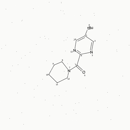 CC(C)(C)c1cnc(C(=O)N2CCCCC2)nc1